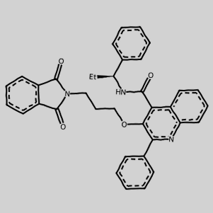 CC[C@H](NC(=O)c1c(OCCCN2C(=O)c3ccccc3C2=O)c(-c2ccccc2)nc2ccccc12)c1ccccc1